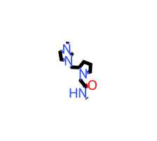 CNC(=O)CN1CCCC1CN1CCN(C)C1